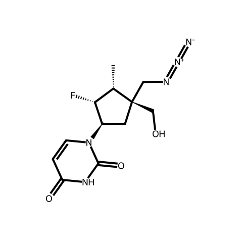 C[C@H]1[C@@H](F)[C@H](n2ccc(=O)[nH]c2=O)C[C@@]1(CO)CN=[N+]=[N-]